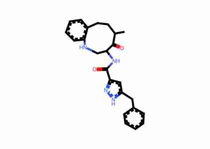 CC1CCc2ccccc2NCC(NC(=O)c2cc(Cc3ccccc3)[nH]n2)C1=O